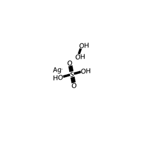 O=S(=O)(O)O.OO.[Ag]